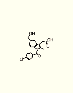 Cc1c(CC(=O)O)c2cc(CO)ccc2n1C(=O)c1ccc(Cl)cc1